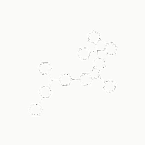 c1ccc(-c2ccc(N(c3ccccc3)c3ccc(-c4ccc5c(c4)c4cc(C6(c7ccccc7)c7ccccc7-c7ccccc76)ccc4n5-c4ccccc4)cc3)cc2)cc1